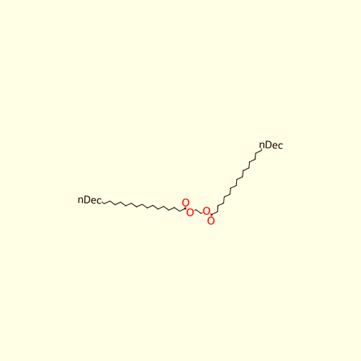 CCCCCCCCCCCCCCCCCCCCCCCCCC(=O)OCCOC(=O)CCCCCCCCCCCCCCCCCCCCCCCCC